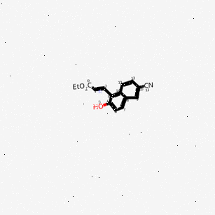 CCOC(=O)/C=C/c1c(O)ccc2cc(C#N)ccc12